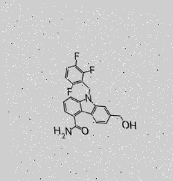 NC(=O)c1cccc2c1c1[c]cc(CO)cc1n2Cc1c(F)ccc(F)c1F